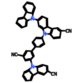 N#Cc1cc(-c2ccc(-n3c4ccc(C#N)cc4c4ccc(-n5c6ccccc6c6ccccc65)cc43)cc2)cc(-n2c3ccccc3c3cc(C#N)ccc32)c1